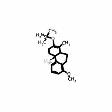 COc1cccc2c1CCC1C(C)=C(O[Si](C)(C)C)CCC21C